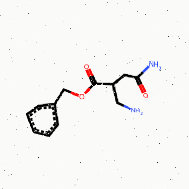 NCC(CC(N)=O)C(=O)OCc1ccccc1